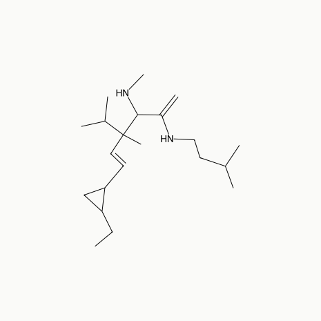 C=C(NCCC(C)C)C(NC)C(C)(/C=C/C1CC1CC)C(C)C